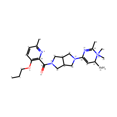 CCCOc1ccc(C)nc1C(=O)N1CC2CN(C3=CC([AsH2])[N+](C)(C)C(C)=N3)CC2C1